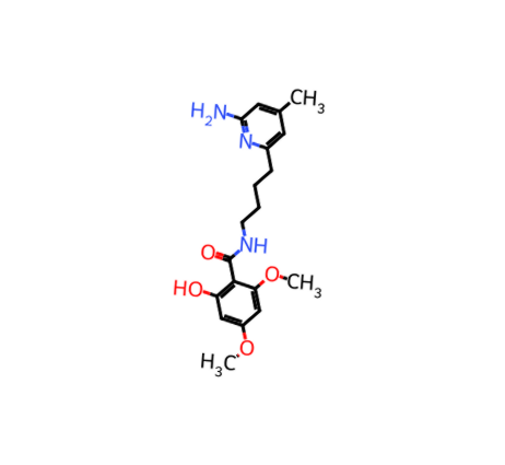 COc1cc(O)c(C(=O)NCCCCc2cc(C)cc(N)n2)c(OC)c1